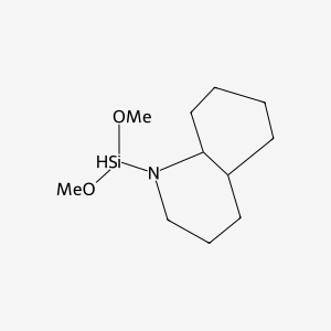 CO[SiH](OC)N1CCCC2CCCCC21